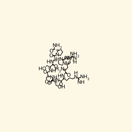 N=C(N)NCCC[C@H](NC(=O)[C@@H](N)CCCNC(=N)N)C(=O)N[C@@H](CO)C(=O)N[C@@H](CO)C(=O)N[C@@H](CO)C(=O)N[C@@H](CCCNC(=N)N)C(=O)N1CCC[C@H]1C(N)=O